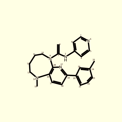 C=C(Nc1ccncc1)N1CCCCN(C)c2ccc(-c3cccc(C)c3)nc21